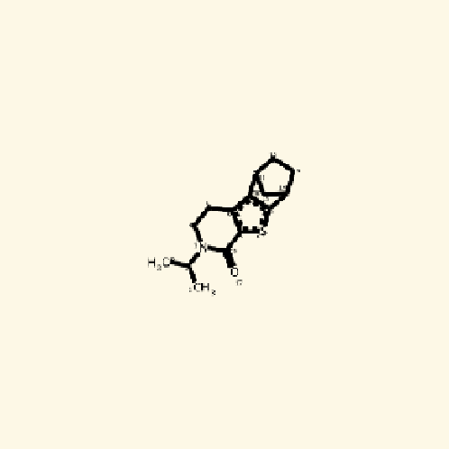 CC(C)N1CCc2c(sc3c2C2CCC3C2)C1=O